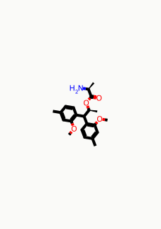 COc1cc(C)ccc1C(c1ccc(C)cc1OC)[C@H](C)OC(=O)[C@H](C)N